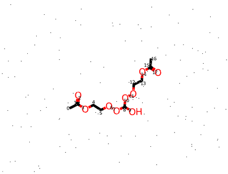 CC(=O)OCCOOC(O)OOCCOC(C)=O